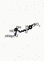 CCCCCCCC(=O)/C=C/[C@@H]1[C@@H](C/C=C\CCCC(=O)NCc2ccc(CO[N+](=O)[O-])cc2)[C@@H](O)C[C@H]1O